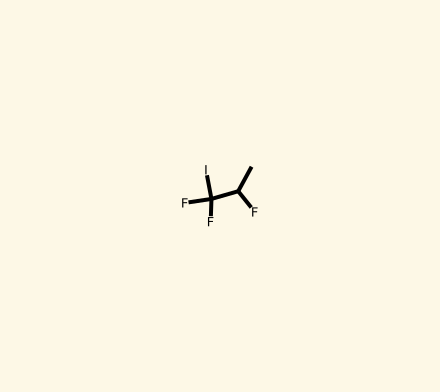 CC(F)C(F)(F)I